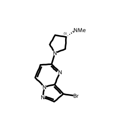 CN[C@H]1CCN(c2ccn3ncc(Br)c3n2)C1